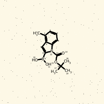 Cc1cccc2c1cc(B(O)O)n2C(=O)OC(C)(C)C